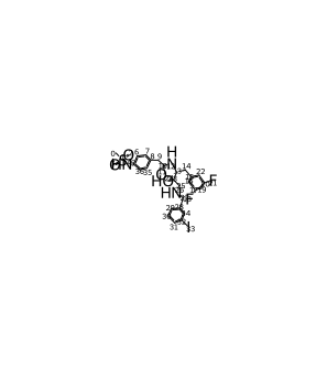 CS(=O)(=O)Nc1ccc(CC(=O)N[C@@H](Cc2cc(F)cc(F)c2)[C@H](O)CNCc2cccc(I)c2)cc1